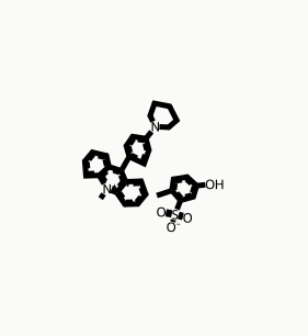 C[n+]1c2ccccc2c(-c2ccc(N3CCCCC3)cc2)c2ccccc21.Cc1ccc(O)cc1S(=O)(=O)[O-]